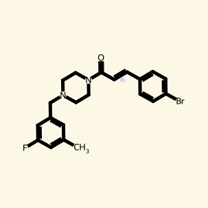 Cc1cc(F)cc(CN2CCN(C(=O)/C=C/c3ccc(Br)cc3)CC2)c1